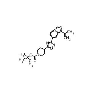 C=C(C)c1ncn2ccc(-c3noc(C4CCN(C(=O)OC(C)(C)C)CC4)n3)cc12